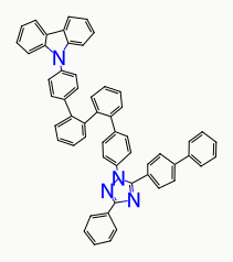 c1ccc(-c2ccc(-c3nc(-c4ccccc4)nn3-c3ccc(-c4ccccc4-c4ccccc4-c4ccc(-n5c6ccccc6c6ccccc65)cc4)cc3)cc2)cc1